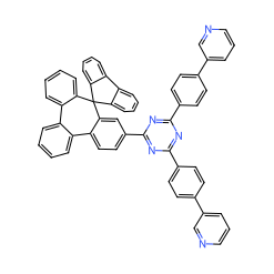 c1cncc(-c2ccc(-c3nc(-c4ccc(-c5cccnc5)cc4)nc(-c4ccc5c(c4)C4(c6ccccc6-c6ccccc6-5)c5ccccc5-c5ccccc54)n3)cc2)c1